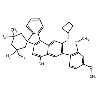 COc1ccc(-c2cc3c(O)cc4c(c3cc2OC2CCC2)-c2ccccc2C42CC(C)(C)CC(C)(C)C2)c(OC)c1